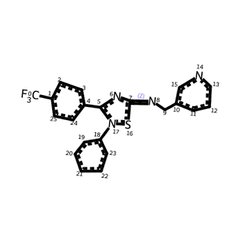 FC(F)(F)c1ccc(-c2n/c(=N/Cc3cccnc3)sn2-c2ccccc2)cc1